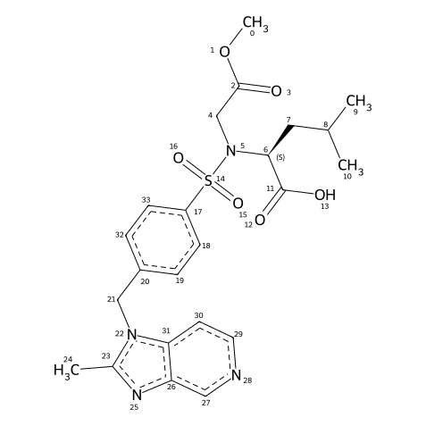 COC(=O)CN([C@@H](CC(C)C)C(=O)O)S(=O)(=O)c1ccc(Cn2c(C)nc3cnccc32)cc1